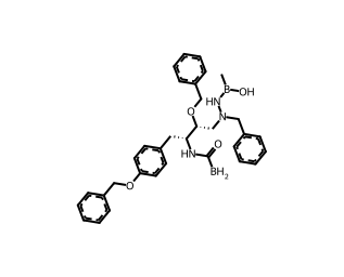 BC(=O)N[C@H](Cc1ccc(OCc2ccccc2)cc1)[C@@H](CN(Cc1ccccc1)NB(C)O)OCc1ccccc1